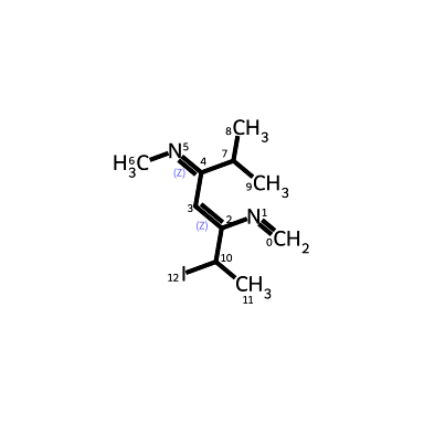 C=N/C(=C\C(=N/C)C(C)C)C(C)I